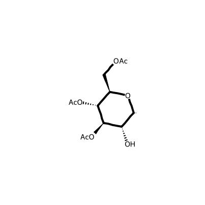 CC(=O)OC[C@H]1O[CH][C@H](O)[C@@H](OC(C)=O)[C@@H]1OC(C)=O